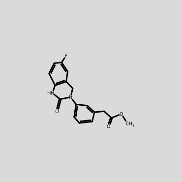 COC(=O)Cc1cccc(N2Cc3cc(F)ccc3NC2=O)c1